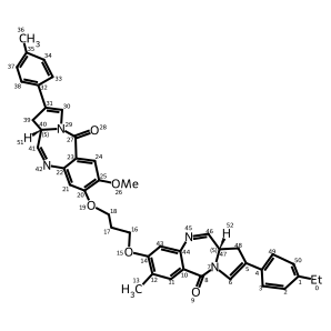 CCc1ccc(C2=CN3C(=O)c4cc(C)c(OCCCOc5cc6c(cc5OC)C(=O)N5C=C(c7ccc(C)cc7)C[C@H]5C=N6)cc4N=C[C@@H]3C2)cc1